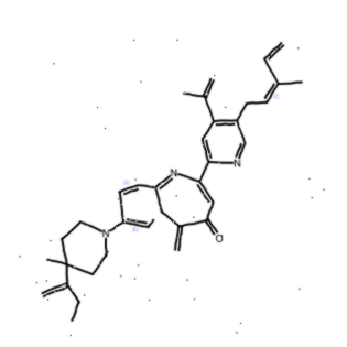 C=C/C(C)=C\Cc1cnc(C2=CC(=O)C(=C)CC(/C=C\C(=C/C)N3CCC(C)(C(=C)CC)CC3)=N2)cc1C(=C)C